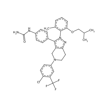 Cc1cccc(OCC(C)C)c1-n1nc2c(c1-c1ccc(NC(N)=O)cc1)CN(c1ccc(Cl)c(C(F)(F)F)c1)CC2